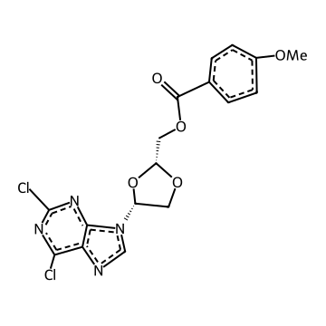 COc1ccc(C(=O)OC[C@@H]2OC[C@H](n3cnc4c(Cl)nc(Cl)nc43)O2)cc1